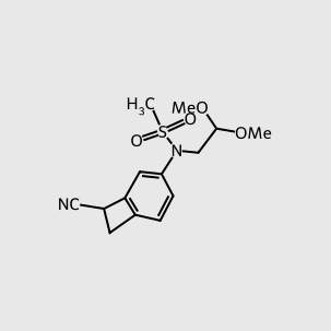 COC(CN(c1ccc2c(c1)C(C#N)C2)S(C)(=O)=O)OC